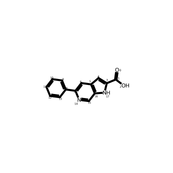 O=C(O)c1cc2cc(-c3ccccc3)ncc2[nH]1